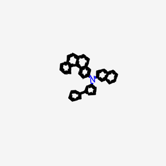 c1ccc(-c2cccc(N(c3ccc4ccccc4c3)c3ccc4c(ccc5ccc6ccccc6c54)c3)c2)cc1